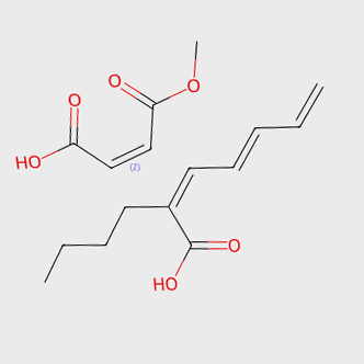 C=CC=CC=C(CCCC)C(=O)O.COC(=O)/C=C\C(=O)O